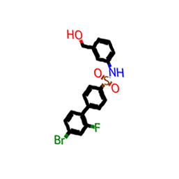 O=S(=O)(Nc1cccc(CO)c1)c1ccc(-c2ccc(Br)cc2F)cc1